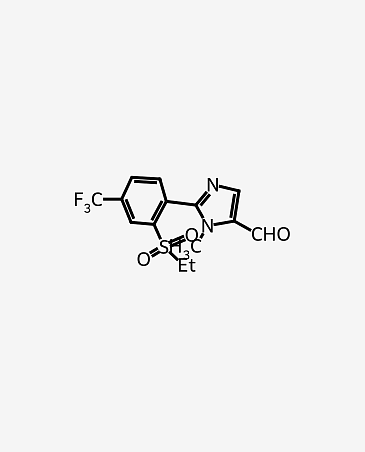 CCS(=O)(=O)c1cc(C(F)(F)F)ccc1-c1ncc(C=O)n1C